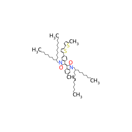 CCCCCCCCCCC(CCCCCCCC)CN1C(=O)/C(=C2/C(=O)N(CC(CCCCCCCC)CCCCCCCCCC)c3cc(-c4ccc(-c5ccc(C)s5)s4)ccc32)c2ccc(C)cc21